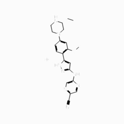 CC[C@@H]1CN(c2ccc(-c3cc(Nc4cnc(C#N)cn4)n[nH]3)c(OC)c2)CCN1.Cl